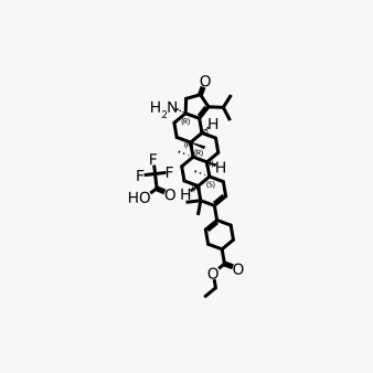 CCOC(=O)C1CC=C(C2=CC[C@]3(C)[C@H]4CC[C@@H]5C6=C(C(C)C)C(=O)C[C@]6(N)CC[C@@]5(C)[C@]4(C)CC[C@H]3C2(C)C)CC1.O=C(O)C(F)(F)F